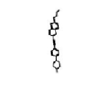 CCCCc1ccc2cc(C#Cc3ccc(C4CCC(C)CC4)cc3)ccc2c1